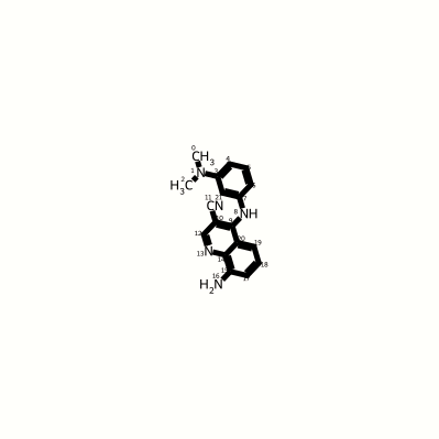 CN(C)c1cccc(Nc2c(C#N)cnc3c(N)cccc23)c1